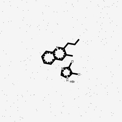 Br.CCCc1nc2ccccc2cc1C.Clc1nc[nH]c1Cl